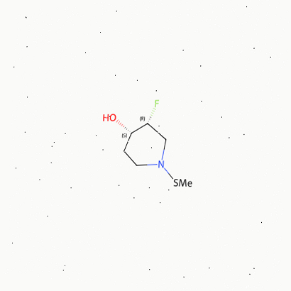 CSN1CC[C@H](O)[C@H](F)C1